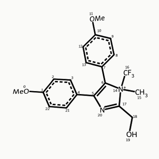 COc1ccc(C2=C(c3ccc(OC)cc3)[N+](C)(C(F)(F)F)C(CO)=N2)cc1